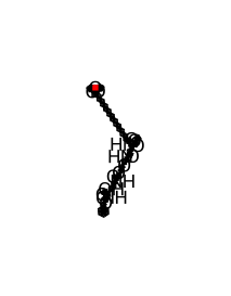 CC(C)(C)OC(=O)[C@H](CCC(=O)NCCOCCOCC(=O)NCCCC[C@H](NC(=O)OCc1ccccc1)C(=O)O)NC(=O)CCCCCCCCCCCCCCCCCCCP(=O)(OC(C)(C)C)OC(C)(C)C